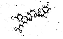 C[C@@H](NC(=O)c1ccc2nc(-c3ccc(Cl)cc3)c(CCCCC(=O)O)nc2c1)c1ccc(F)cc1